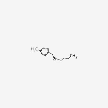 CCC[CH2][Zn][CH2]Cc1ccc(C)cc1